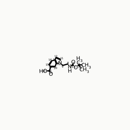 CC(C)(C)OC(=O)NCCn1ccc2ccc(C(=O)O)cc21